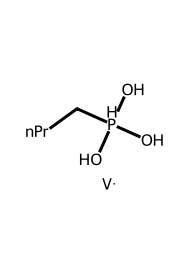 CCCC[PH](O)(O)O.[V]